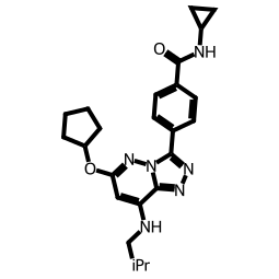 CC(C)CNc1cc(OC2CCCC2)nn2c(-c3ccc(C(=O)NC4CC4)cc3)nnc12